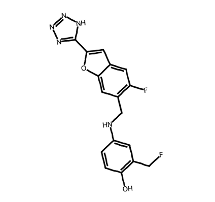 Oc1ccc(NCc2cc3oc(-c4nnn[nH]4)cc3cc2F)cc1CF